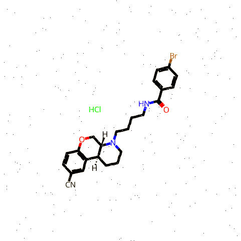 Cl.N#Cc1ccc2c(c1)[C@@H]1CCCN(CCCCNC(=O)c3ccc(Br)cc3)[C@H]1CO2